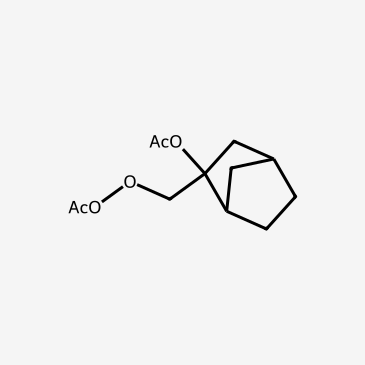 CC(=O)OOCC1(OC(C)=O)CC2CCC1C2